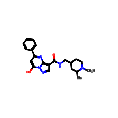 CC(C)(C)C1CC(CNC(=O)c2cnn3c(O)cc(-c4ccccc4)nc23)CCN1C(=O)O